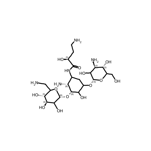 NCC[C@H](O)C(=O)NC1CC(O[C@H]2OC(CO)[C@@H](O)[C@H](N)C2O)C(O)[C@H](O[C@H]2OC(CN)[C@@H](O)[C@H](O)C2O)[C@@H]1N